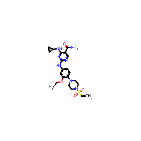 C=CS(=O)(=O)N1CCN(c2ccc(Nc3ncc(C(N)=O)c(NC4CC4)n3)cc2OCC)CC1